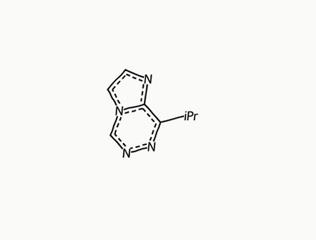 CC(C)c1nncn2ccnc12